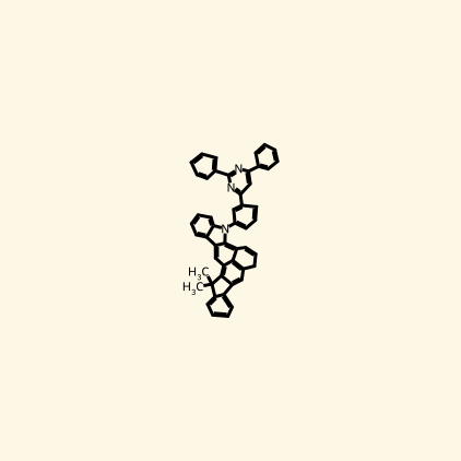 CC1(C)c2ccccc2-c2cc3c4c(c5c(cc4c21)c1ccccc1n5-c1cccc(-c2cc(-c4ccccc4)nc(-c4ccccc4)n2)c1)C=CC3